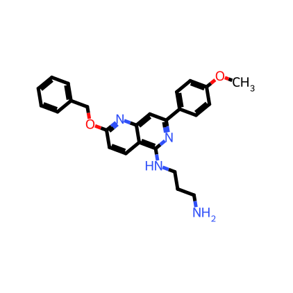 COc1ccc(-c2cc3nc(OCc4ccccc4)ccc3c(NCCCN)n2)cc1